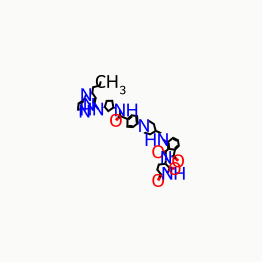 CCCc1cc(N[C@@H]2CC[C@@H](NC(=O)c3ccc(N4CCC(CNc5cccc6c5C(=O)N(C5CCC(=O)NC5=O)C6=O)CC4)cc3)C2)n2nccc2n1